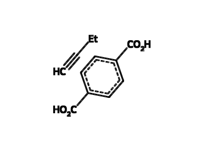 C#CCC.O=C(O)c1ccc(C(=O)O)cc1